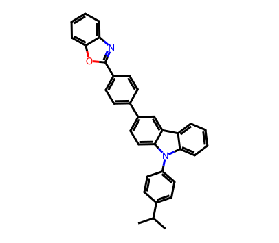 CC(C)c1ccc(-n2c3ccccc3c3cc(-c4ccc(-c5nc6ccccc6o5)cc4)ccc32)cc1